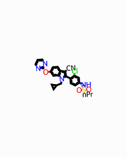 CCCS(=O)(=O)Nc1ccc(-c2c(C#N)c3ccc(Oc4ncccn4)cc3n2CC2CC2)c(Cl)c1